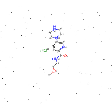 COCCNC(=O)c1ccc(N2CCNCC2)cn1.Cl